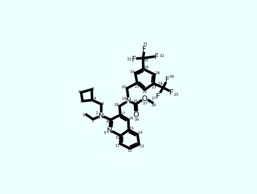 CCN(CC1CCC1)c1nc2ccccc2cc1CN(Cc1cc(C(F)(F)F)cc(C(F)(F)F)c1)C(=O)OC